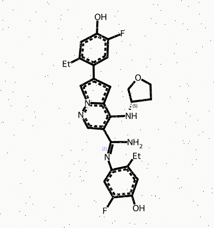 CCc1cc(O)c(F)cc1/N=C(\N)c1cnn2cc(-c3cc(F)c(O)cc3CC)cc2c1N[C@H]1CCOC1